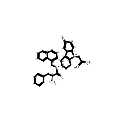 C[C@@H](Cc1ccccc1)C(=O)N(Cc1cccc2ccccc12)[C@H]1CCc2c(c3cc(F)ccc3n2CC(=O)O)C1